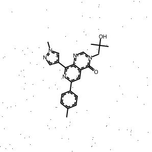 Cc1ccc(-c2cc3c(=O)n(CC(C)(C)O)cnc3c(-c3cnn(C)c3)n2)cc1